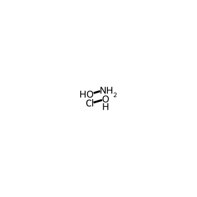 NO.OCl